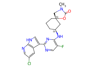 CN1C[C@@]2(CCC[C@H](Nc3nc(-c4c[nH]c5ncc(Cl)cc45)ncc3F)C2)OC1=O